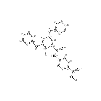 COC(=O)c1ccc(NC(=O)c2cc(Oc3ccccc3)cc(Oc3ccccc3)c2C)nc1